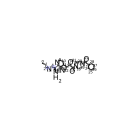 C=C/C=N\C=C(/N)c1nccc2c(C(=O)C(=O)N3CCN(C(=O)c4ccccc4)C[C@H]3C)c[nH]c12